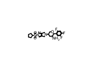 N[C@H]1CC(N2Cc3cn(S(=O)(=O)C4CCCC4)nc3C2)COC1c1cc(F)c(F)cc1F